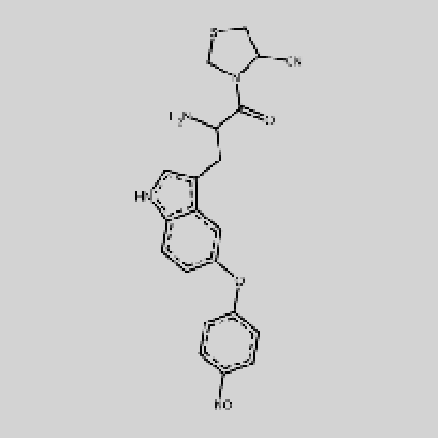 N#CC1CSCN1C(=O)C(N)Cc1c[nH]c2ccc(Oc3ccc(N=O)cc3)cc12